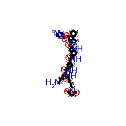 CN1CCN(C(=O)Oc2cc3c(c4ccccc24)CCN3C(=O)c2cc3cc(NC(=O)c4ccc(NC(=O)[C@H](CCCCN)NC(=O)CCCCCN5C(=O)CCC5=O)cc4)ccc3[nH]2)CC1